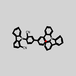 N#Cc1cc(-c2cccc(-c3ccccc3-n3c4ccccc4c4ccccc43)c2)ccc1-n1c2ccccc2c2cccc(C#N)c21